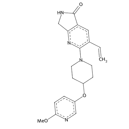 C=Cc1cc2c(nc1N1CCC(Oc3ccc(OC)nc3)CC1)CNC2=O